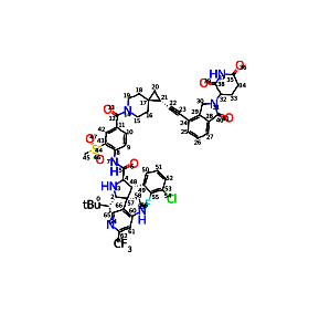 CC(C)(C)C[C@@H]1N[C@@H](C(=O)Nc2ccc(C(=O)N3CCC4(CC3)C[C@@H]4C#Cc3cccc4c3CN(C3CCC(=O)NC3=O)C4=O)cc2S(C)(=O)=O)[C@H](c2cccc(Cl)c2F)[C@]12CNc1cc(C(F)(F)F)ncc12